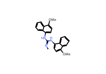 CN=C(Nc1ccc(OC)c2ccccc12)Nc1ccc(OC)c2ccccc12